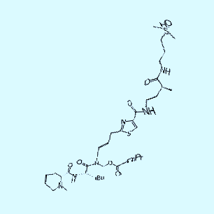 CCCC(=O)OCN(CCCc1nc(C(=O)NCC[C@H](C)C(=O)NCCC[SH](C)(C)=O)cs1)C(=O)[C@@H](NC(=O)[C@H]1CCCCN1C)[C@@H](C)CC